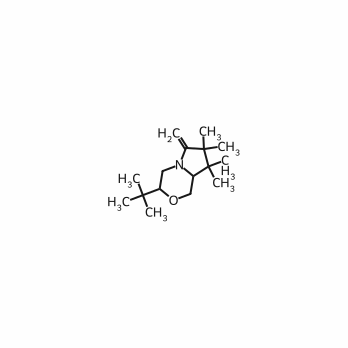 C=C1N2CC(C(C)(C)C)OCC2C(C)(C)C1(C)C